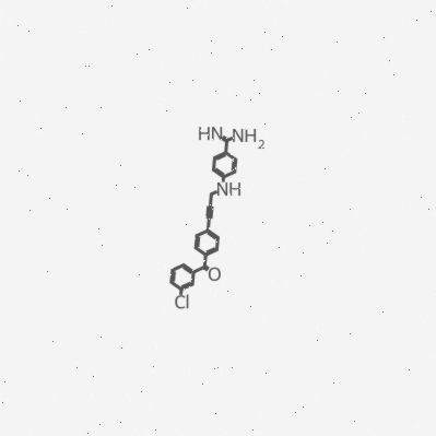 N=C(N)c1ccc(NCC#Cc2ccc(C(=O)c3cccc(Cl)c3)cc2)cc1